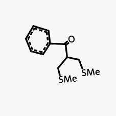 CSCC(CSC)C(=O)c1ccccc1